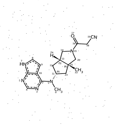 CN(c1ncnc2[nH]ccc12)[C@@H]1C[C@@H]2CN(C(=O)CC#N)C[C@]2(C)C1